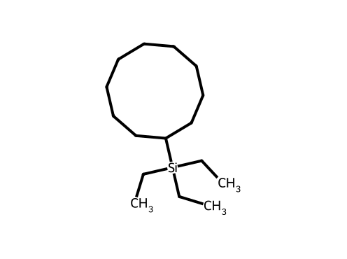 CC[Si](CC)(CC)C1CCCCCCCCC1